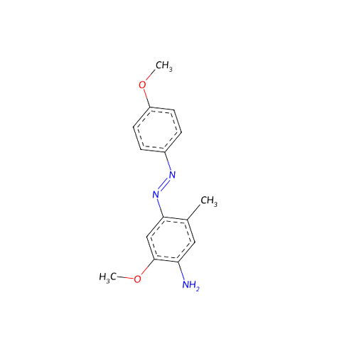 COc1ccc(N=Nc2cc(OC)c(N)cc2C)cc1